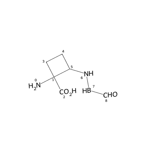 NC1(C(=O)O)CCC1NBC=O